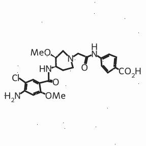 COc1cc(N)c(Cl)cc1C(=O)N[C@@H]1CCN(CC(=O)Nc2ccc(C(=O)O)cc2)C[C@@H]1OC